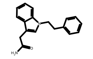 NC(=O)Cc1cn(CCc2ccccc2)c2cc[c]cc12